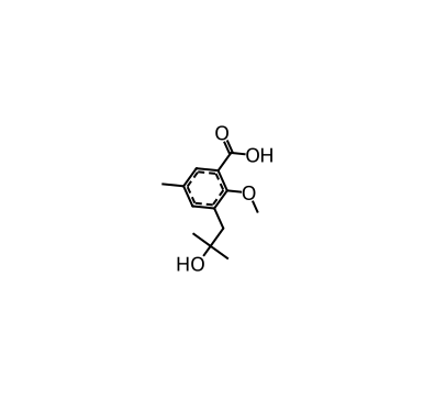 COc1c(CC(C)(C)O)cc(C)cc1C(=O)O